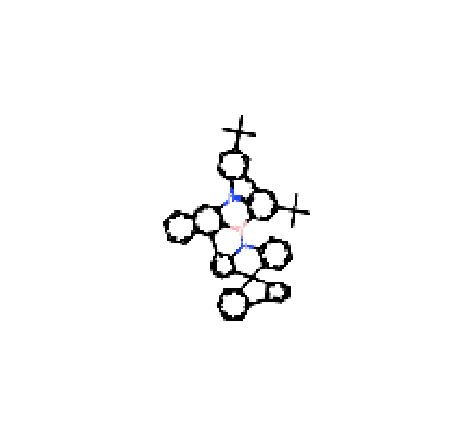 CC(C)(C)c1ccc2c(c1)c1cc(C(C)(C)C)cc3c1n2-c1cc2ccccc2c2c1B3N1c3ccccc3C3(c4ccccc4-c4ccccc43)c3cccc-2c31